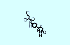 CC1CC(=O)NN=C1c1ccc(NC(=O)C(Cl)CCCl)cc1